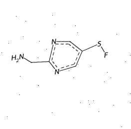 NCc1ncc(SF)cn1